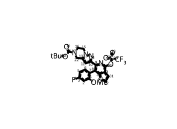 COc1cc(F)ccc1-c1c(-c2cc3n(n2)CCN(C(=O)OC(C)(C)C)C3)nc(OS(=O)(=O)C(F)(F)F)c2ccsc12